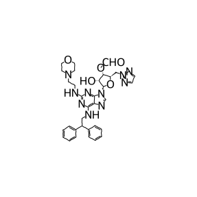 O=CO[C@H]1[C@@H](O)[C@H](n2cnc3c(NCC(c4ccccc4)c4ccccc4)nc(NCCN4CCOCC4)nc32)O[C@@H]1Cn1nccn1